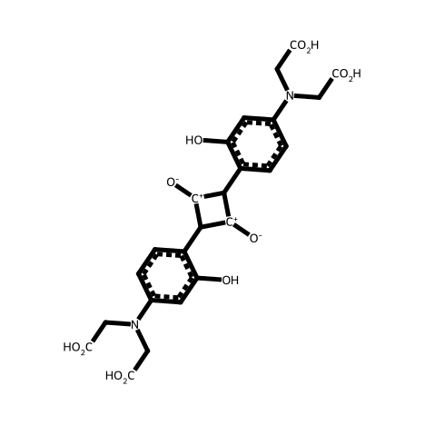 O=C(O)CN(CC(=O)O)c1ccc(C2[C+]([O-])C(c3ccc(N(CC(=O)O)CC(=O)O)cc3O)[C+]2[O-])c(O)c1